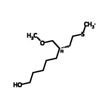 [CH2]SCC[C@H](CCCCCO)COC